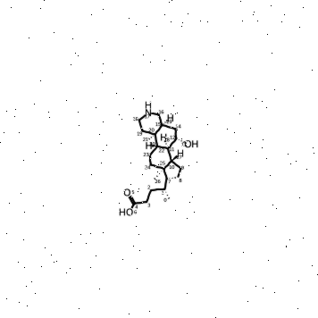 C[C@H](CCC(=O)O)[C@H]1CC[C@H]2[C@@H]3[C@@H](O)C[C@@H]4CNCC[C@]4(C)[C@H]3CC[C@]12C